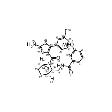 COc1cccc(C(=O)NC[C@@H]2[C@H]3CC[C@H](C3)N2C(=O)c2nc(N)sc2-c2cccc(F)c2)n1